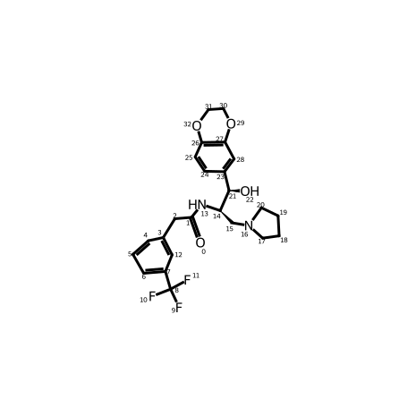 O=C(Cc1cccc(C(F)(F)F)c1)N[C@H](CN1CCCC1)[C@H](O)c1ccc2c(c1)OCCO2